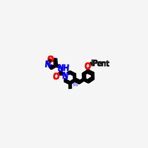 CCCC(C)Oc1cccc(/C=C2\CCN(C(=O)Nc3cnoc3)CC2C)c1